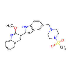 COc1nc2ccccc2cc1-c1cc2cc(CN3CCN(S(C)(=O)=O)CC3)ccc2[nH]1